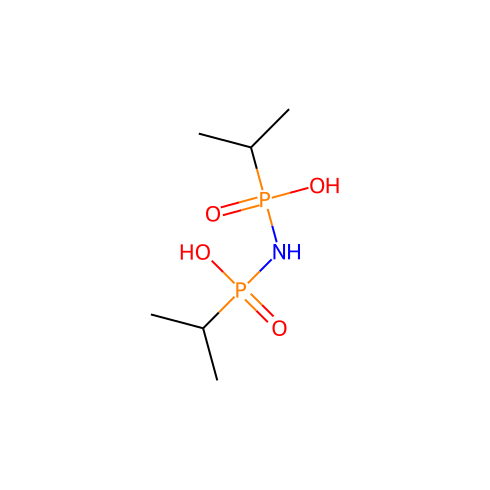 CC(C)P(=O)(O)NP(=O)(O)C(C)C